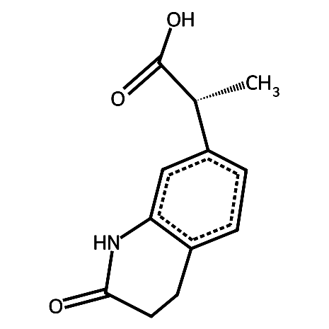 C[C@@H](C(=O)O)c1ccc2c(c1)NC(=O)CC2